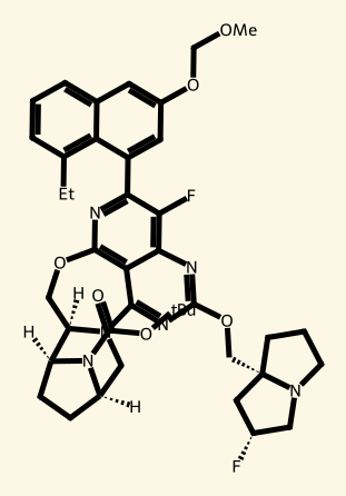 CCc1cccc2cc(OCOC)cc(-c3nc4c5c(nc(OC[C@]67CCCN6C[C@H](F)C7)nc5c3F)N3C[C@H]5CC[C@@H]([C@H]3CO4)N5C(=O)OC(C)(C)C)c12